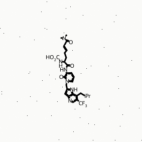 CC(C)Cc1c(C(F)(F)F)cnc2cc(Cn3cccc(NC(=O)C(CCC=CC(=O)N(C)C)NC(=O)O)c3=O)[nH]c12